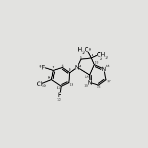 CC1(C)CN(c2cc(F)c(Cl)c(F)c2)c2nccnc21